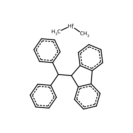 [CH3][Hf][CH3].c1ccc(C(c2ccccc2)C2c3ccccc3-c3ccccc32)cc1